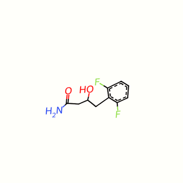 NC(=O)CC(O)Cc1c(F)cccc1F